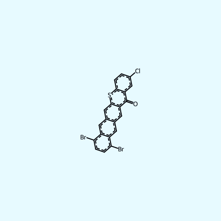 O=c1c2cc(Cl)ccc2sc2cc3cc4c(Br)ccc(Br)c4cc3cc12